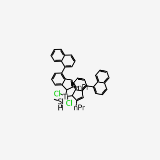 CCCC1=Cc2c(-c3cccc4ccccc34)cccc2[CH]1[Ti]([Cl])([Cl])([CH]1C(CCC)=Cc2c(-c3cccc4ccccc34)cccc21)[SiH](C)C